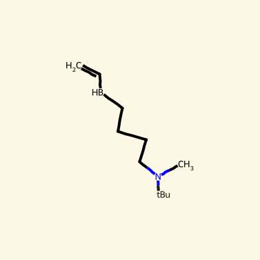 C=CBCCCCN(C)C(C)(C)C